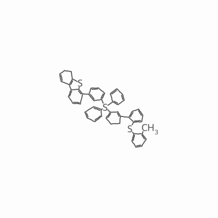 Cc1ccccc1Sc1ccccc1C1=CC(S(c2ccccc2)(c2ccccc2)c2cccc(-c3cccc4c5c(sc34)CCC=C5)c2)=CCC1